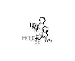 CCCN(Cc1ccc(-c2ccccc2-c2nnn[nH]2)cc1)C(=O)CC(CC)(CC)C(=O)O